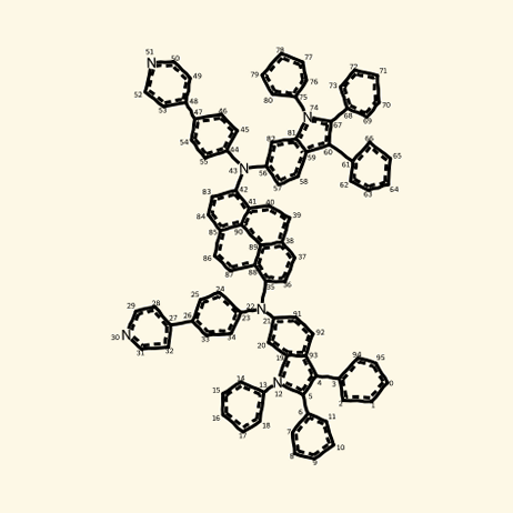 c1ccc(-c2c(-c3ccccc3)n(-c3ccccc3)c3cc(N(c4ccc(-c5ccncc5)cc4)c4ccc5ccc6c(N(c7ccc(-c8ccncc8)cc7)c7ccc8c(-c9ccccc9)c(-c9ccccc9)n(-c9ccccc9)c8c7)ccc7ccc4c5c76)ccc23)cc1